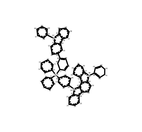 C1=CC([Si](c2ccccc2)(c2ccccc2)c2ccc(-n3c4ccccc4c4ccc5c(c6ccccc6n5C5=CCCC=C5)c43)cc2)CC(c2ccc3c(c2)c2ccccc2n3-c2ccccc2)=C1